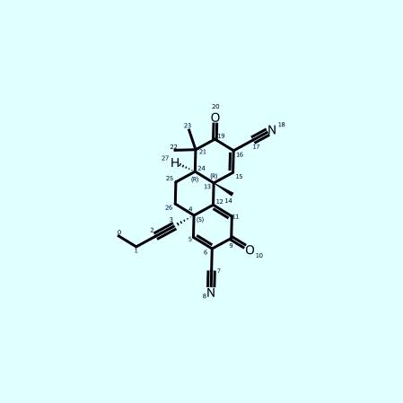 CCC#C[C@@]12C=C(C#N)C(=O)C=C1[C@@]1(C)C=C(C#N)C(=O)C(C)(C)[C@@H]1CC2